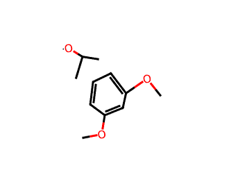 CC(C)[O].COc1cccc(OC)c1